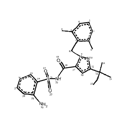 Cc1cccc(C)c1Cn1nc(C(C)(C)C)cc1C(=O)NS(=O)(=O)c1ccccc1N